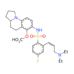 CCN(CC)C/C=C\c1cc(F)ccc1S(=O)(=O)Nc1ccc2c(c1OC(=O)O)CCC1CCCN21